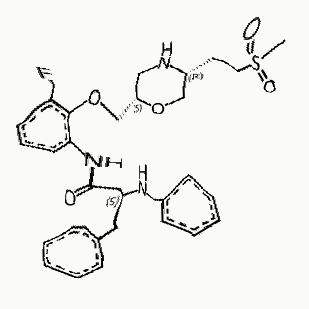 CS(=O)(=O)CC[C@@H]1CO[C@H](COc2c(F)cccc2NC(=O)[C@H](Cc2ccccc2)Nc2ccccc2)CN1